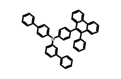 c1ccc(-c2ccc(N(c3ccc(-c4c(-c5ccccc5)c5ccccc5c5ccccc45)cc3)c3cccc(-c4ccccc4)c3)cc2)cc1